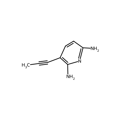 CC#Cc1ccc(N)nc1N